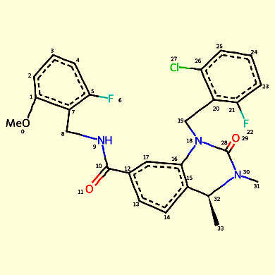 COc1cccc(F)c1CNC(=O)c1ccc2c(c1)N(Cc1c(F)cccc1Cl)C(=O)N(C)[C@H]2C